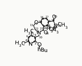 CCCCOc1nc(C)cc(C)c1CN1CCOc2ccc(C(=O)N(C)C)c(C)c2C1=O